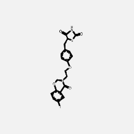 O=C1NC(=O)C(Cc2ccc(OCCN3COc4ccc(I)cc4C3=O)cc2)S1